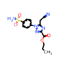 CCCOC(=O)c1nc(CC#N)n(-c2ccc(S(N)(=O)=O)cc2)n1